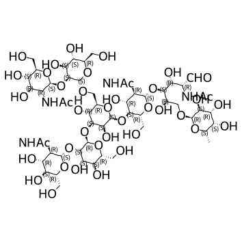 CC(=O)N[C@H]1[C@H](O[C@@H]([C@H](O)[C@H](C=O)NC(C)=O)[C@H](O)CO[C@@H]2O[C@@H](C)[C@@H](O)[C@@H](O)[C@@H]2O)O[C@H](CO)[C@@H](O[C@@H]2O[C@H](CO[C@H]3O[C@H](CO)[C@@H](O)[C@H](O)[C@@H]3O[C@@H]3O[C@H](CO)[C@@H](O)[C@H](O)[C@H]3NC(C)=O)[C@@H](O)[C@H](O[C@H]3O[C@H](CO)[C@@H](O)[C@H](O)[C@@H]3O[C@@H]3O[C@H](CO)[C@@H](O)[C@H](O)[C@H]3NC(C)=O)[C@@H]2O)[C@@H]1O